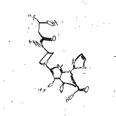 Cc1cc(N2CC(NC(=O)CC(C)O)C2)nc2c1c(=O)c(C(=O)O)cn2-c1nccs1